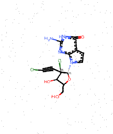 Nc1nc2c(ccn2[C@@H]2OC(CO)C(O)[C@]2(Cl)C#CCl)c(=O)[nH]1